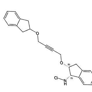 ClN[C@H]1c2ccccc2C[C@H]1OCC#CCOC1Cc2ccccc2C1